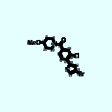 COC1CCN(C(=O)c2ccc(-c3cc(Br)cs3)c(Cl)c2)CC1